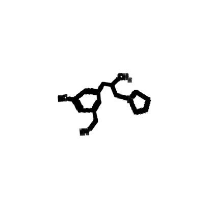 CC(C)Cc1cc(C#N)cc(CC(C)CN2CCCC2)c1